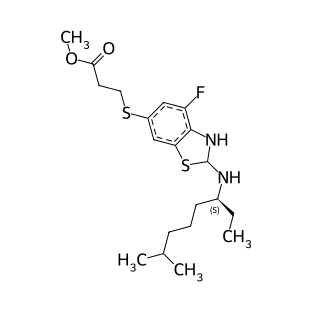 CC[C@@H](CCCC(C)C)NC1Nc2c(F)cc(SCCC(=O)OC)cc2S1